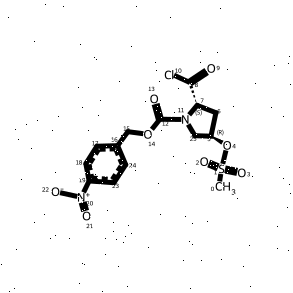 CS(=O)(=O)O[C@@H]1C[C@@H](C(=O)Cl)N(C(=O)OCc2ccc([N+](=O)[O-])cc2)C1